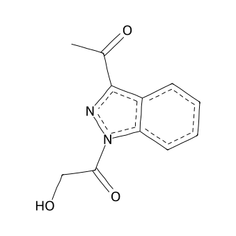 CC(=O)c1nn(C(=O)CO)c2ccccc12